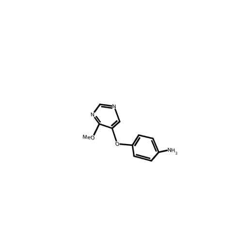 COc1ncncc1Oc1ccc(N)cc1